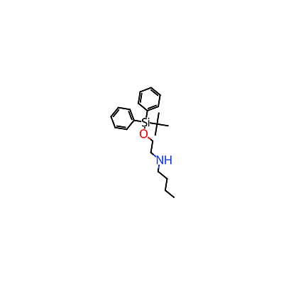 CCCCNCCO[Si](c1ccccc1)(c1ccccc1)C(C)(C)C